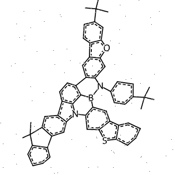 CC(C)(C)c1ccc(N2B3c4cc5c(cc4-n4c6cc7c(cc6c6ccc(c3c64)-c3cc4c(cc32)oc2cc(C(C)(C)C)ccc24)C(C)(C)c2ccccc2-7)sc2ccccc25)cc1